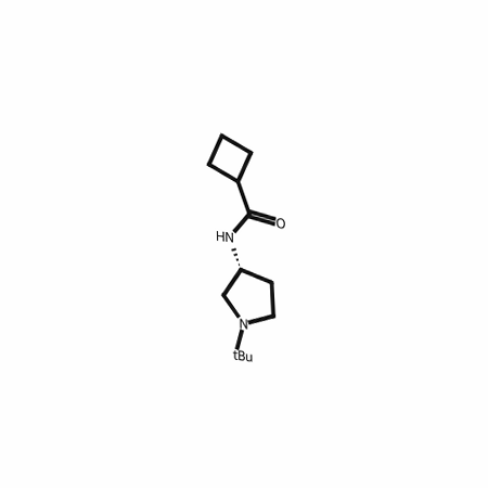 CC(C)(C)N1CC[C@@H](NC(=O)C2CCC2)C1